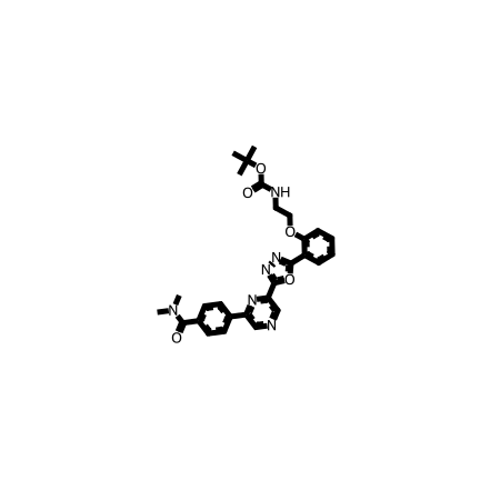 CN(C)C(=O)c1ccc(-c2cncc(-c3nnc(-c4ccccc4OCCNC(=O)OC(C)(C)C)o3)n2)cc1